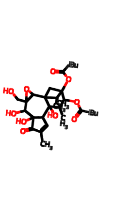 CCC(C)C(=O)OC1C(C)C2(O)C3C=C(C)C(=O)C3(O)C(O)C3(CO)OC3C23CC1(OC(=O)C(C)CC)C3(C)C